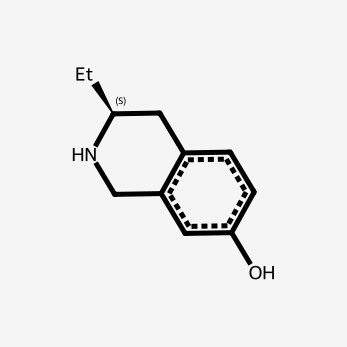 CC[C@H]1Cc2ccc(O)cc2CN1